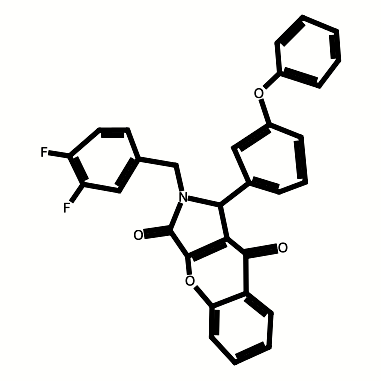 O=C1c2oc3ccccc3c(=O)c2C(c2cccc(Oc3ccccc3)c2)N1Cc1ccc(F)c(F)c1